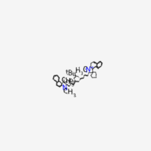 CCCC1(C)/C(=C\C=C\C2=CC(=C/C=C/C3=[N+](C)C4CC=c5ccccc5=C4C34CCCCC4)/CC(C(C)(C)C)C2)N(C)c2ccc3ccccc3c21